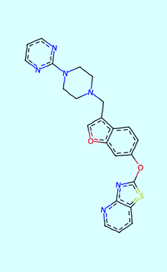 c1cnc(N2CCN(Cc3coc4cc(Oc5nc6ncccc6s5)ccc34)CC2)nc1